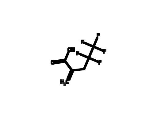 C=C(CC(F)(F)C(F)(F)F)C(=O)O